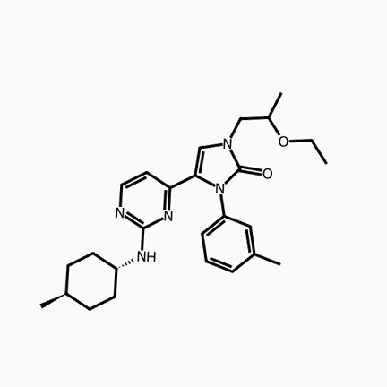 CCOC(C)Cn1cc(-c2ccnc(N[C@H]3CC[C@H](C)CC3)n2)n(-c2cccc(C)c2)c1=O